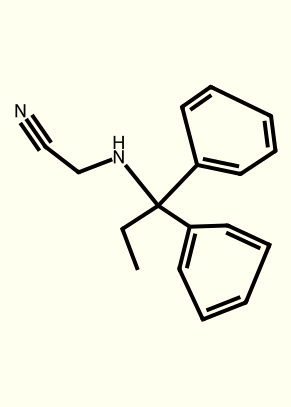 CCC(NCC#N)(c1ccccc1)c1ccccc1